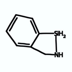 c1ccc2c(c1)CN[SiH2]2